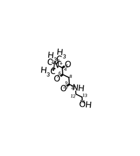 C[N+](C)(C)C(=O)C(=O)CC(=O)NCCO